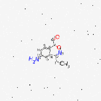 CCC1=NOC(C=O)c2ccc(N)cc21